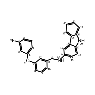 Fc1cccc(Oc2cccc(CNc3cc4c(cn3)[nH]c3ccccc34)c2)c1